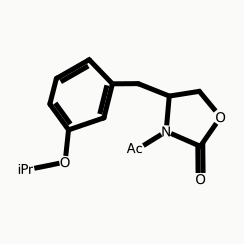 CC(=O)N1C(=O)OCC1Cc1cccc(OC(C)C)c1